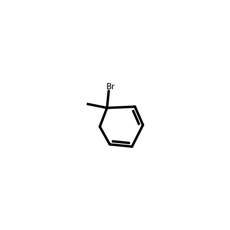 CC1(Br)C=CC=CC1